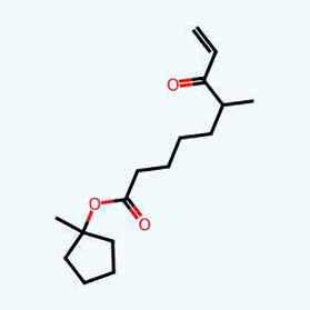 C=CC(=O)C(C)CCCCC(=O)OC1(C)CCCC1